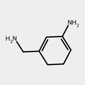 NCC1=CC(N)=CCC1